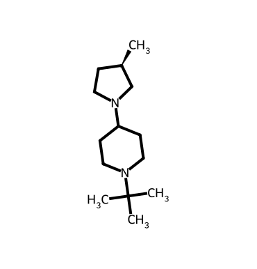 C[C@@H]1CCN(C2CCN(C(C)(C)C)CC2)C1